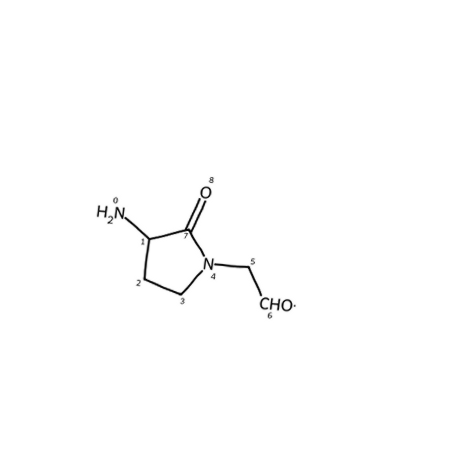 NC1CCN(C[C]=O)C1=O